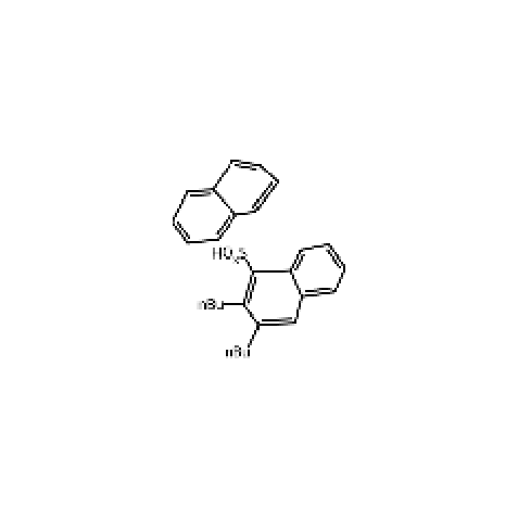 CCCCc1cc2ccccc2c(S(=O)(=O)O)c1CCCC.c1ccc2ccccc2c1